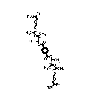 CCCCC(CC)COCCOC(C)OC(C)OC(C)OC(=O)c1ccc(C(=O)OC(C)OC(C)OC(C)OCCOCC(CC)CCCC)cc1